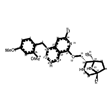 COc1ccc(Cn2o[nH]oc3c(OC[C@H]4NC[C@H]5CC[C@@]4(C(C)(C)C)N5)nc(Cl)cc32)c(OC)c1